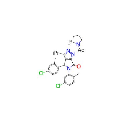 CC(=O)N1CCC[C@H]1Cn1nc2c(c1C(C)C)C(c1ccc(Cl)cc1C)N(c1cc(Cl)ccc1C)C2=O